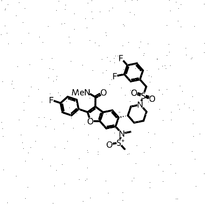 CNC(=O)c1c(-c2ccc(F)cc2)oc2cc(N(C)[S+](C)[O-])c([C@H]3CCCN(S(=O)(=O)Cc4ccc(F)c(F)c4)C3)cc12